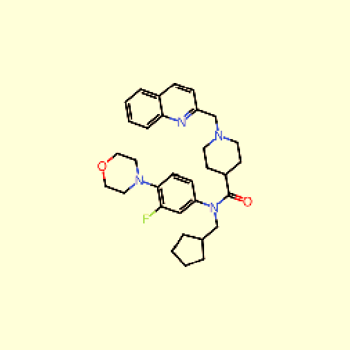 O=C(C1CCN(Cc2ccc3ccccc3n2)CC1)N(CC1CCCC1)c1ccc(N2CCOCC2)c(F)c1